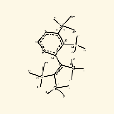 C[Si](C)(C)C(=C([Si](C)(C)C)[Si](C)(C)C)c1cccc([Si](C)(C)C)c1[Si](C)(C)C